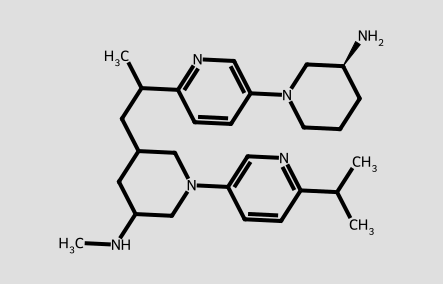 CNC1CC(CC(C)c2ccc(N3CCC[C@H](N)C3)cn2)CN(c2ccc(C(C)C)nc2)C1